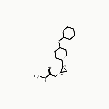 CNC(=N)C[C@H]1C[C@H]1[C@H]1CC[C@H](OC2CCCCO2)CC1